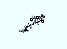 CC(C)(C)OC(=O)[C@H](Cc1ccc(NC(=O)c2c(Cl)cccc2Cl)cc1)NC(=O)C1(CCNC(=O)CCOCCNC(=O)OCC(=O)ON2C(=O)CC(S(=O)(=O)O)C2=O)CCCC1